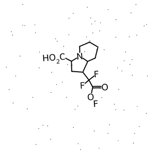 O=C(O)C1CC(C(F)(F)C(=O)OF)C2CCCCN12